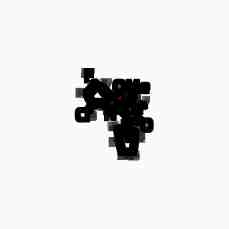 COC(=O)C(C)(C)N(C)C(=O)CN1C2CCC1CN(Cc1nc3c(Cl)cc(F)cc3[nH]1)C2